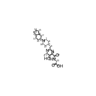 Cc1nc(CC2CCN(c3ccc4sccc4c3)CC2)nc(C(=O)NCC(=O)O)c1O